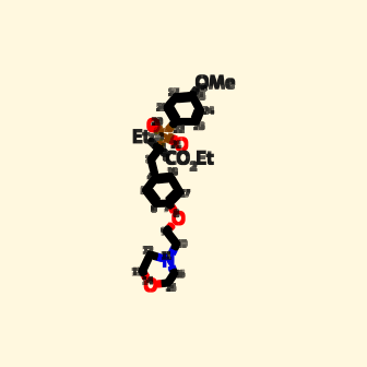 CCOC(=O)C(CC)(Cc1ccc(OCCN2CCOCC2)cc1)S(=O)(=O)c1ccc(OC)cc1